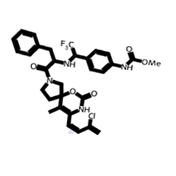 C=C(Cl)/C=C\C1=C(C)C2(CCN(C(=O)C(Cc3ccccc3)NC(c3ccc(NC(=O)OC)cc3)C(F)(F)F)C2)OC(=O)N1